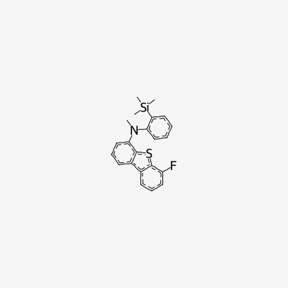 CN(c1ccccc1[Si](C)(C)C)c1cccc2c1sc1c(F)cccc12